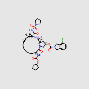 O=C(N[C@H]1CCCCC/C=C\[C@@H]2C[C@@]2(C(=O)NS(=O)(=O)N2CCCC2)NC(=O)[C@@H]2C[C@@H](OC(=O)N3Cc4cccc(F)c4C3)CN2C1=O)OC1CCCC1